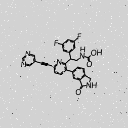 O=C(O)NCC(c1cc(F)cc(F)c1)c1nc(C#Cc2cncnc2)ccc1-c1ccc2c(c1)C(=O)NC2